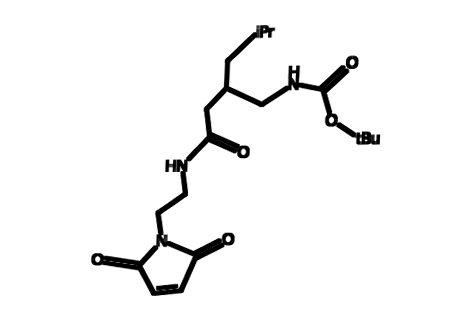 CC(C)CC(CNC(=O)OC(C)(C)C)CC(=O)NCCN1C(=O)C=CC1=O